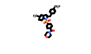 O=C(O)c1ccc(Cc2cc3cc(C(F)(F)F)ccc3n2S(=O)(=O)c2ccc(C(=O)N3CCOCC3)cc2)cc1